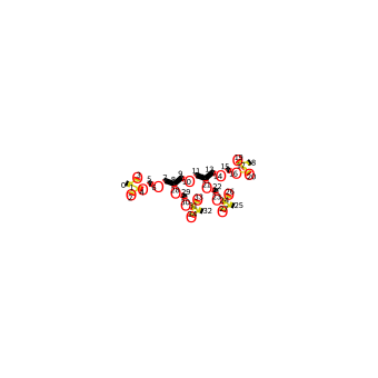 CS(=O)(=O)OCOCC(COCC(COCOS(C)(=O)=O)OCOS(C)(=O)=O)OCOS(C)(=O)=O